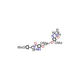 COc1ccc(C2=CN3C(=O)c4cc(OC)c(OCCCCCOc5cc6c(cc5OC)C(=O)N5[C@H](C=N6)C[C@@H]6C[C@@H]65)cc4NC[C@@H]3C2)cc1